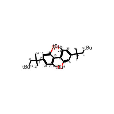 CC(C)(C)CC(C)(C)c1cc(O)c(-c2c(O)cc(C(C)(C)CC(C)(C)C)cc2C(C)(C)C)c(C(C)(C)C)c1